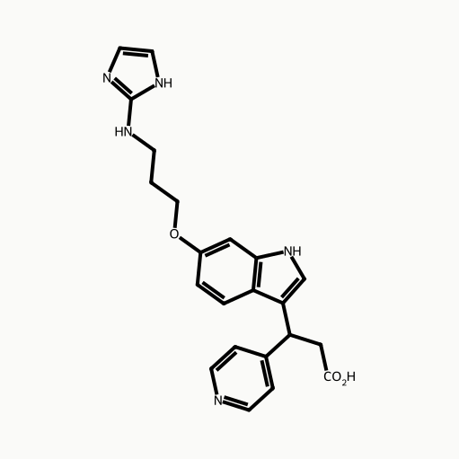 O=C(O)CC(c1ccncc1)c1c[nH]c2cc(OCCCNc3ncc[nH]3)ccc12